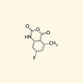 Cc1cc(F)cc2[nH]c(=O)oc(=O)c12